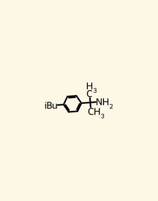 CCC(C)c1ccc(C(C)(C)N)cc1